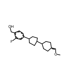 COC=C1CCC(C2CCC(c3ccc(CO)c(F)c3)CC2)CC1